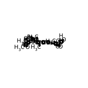 CCOc1cc(N2CCC(N3CCN(CCc4cc5oc(=O)n(C6CCC(=O)NC6=O)c5cc4C)CC3)CC2)c(CC)cc1Nc1ncc(Br)c(Nc2ccc3c(=O)n(CC)ncc3c2P(C)(C)=O)n1